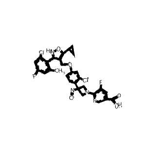 Cc1cc(F)cc(Cl)c1C1NOC(C2CC2)=C1COc1ccc(C2(N=O)CN(c3ncc(C(=O)O)cc3F)C2)c(Cl)c1